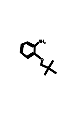 CC(C)(C)COc1ccccc1N